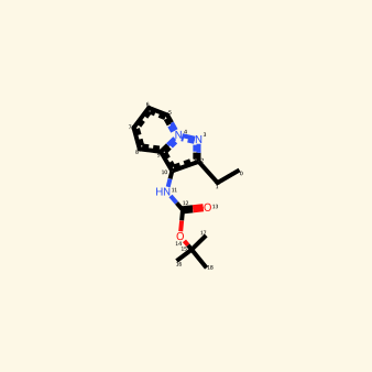 CCc1nn2ccccc2c1NC(=O)OC(C)(C)C